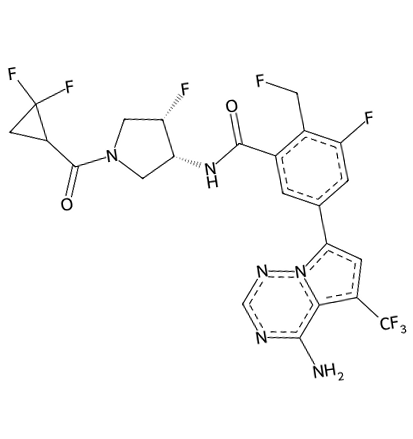 Nc1ncnn2c(-c3cc(F)c(CF)c(C(=O)N[C@@H]4CN(C(=O)C5CC5(F)F)C[C@@H]4F)c3)cc(C(F)(F)F)c12